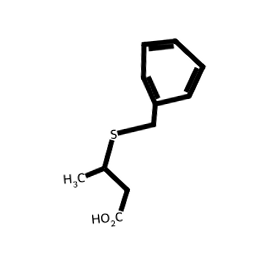 CC(CC(=O)O)SCc1ccccc1